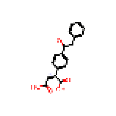 O=C(O)/C=C(\C(=O)O)c1ccc(C(=O)Cc2ccccc2)cc1